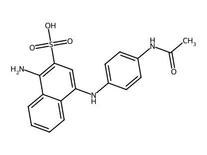 CC(=O)Nc1ccc(Nc2cc(S(=O)(=O)O)c(N)c3ccccc23)cc1